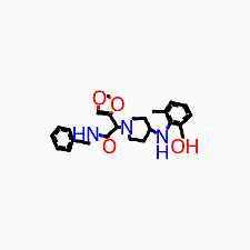 Cc1cccc(CO)c1NC1CCN(C(C(=O)NCc2ccccc2)C2=COCO2)CC1